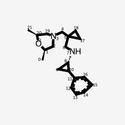 C[C@@H]1CN(CC2(CN[C@H]3CC3c3ccccc3)CC2)C[C@H](C)O1